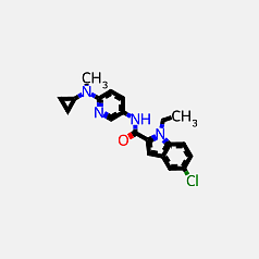 CCn1c(C(=O)Nc2ccc(N(C)C3CC3)nc2)cc2cc(Cl)ccc21